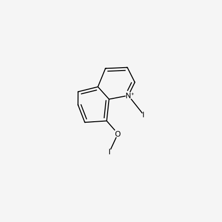 IOc1cccc2ccc[n+](I)c12